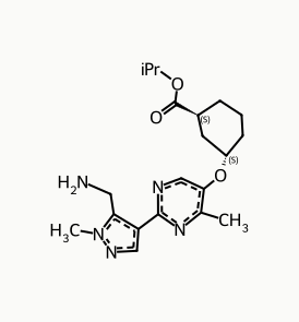 Cc1nc(-c2cnn(C)c2CN)ncc1O[C@H]1CCC[C@H](C(=O)OC(C)C)C1